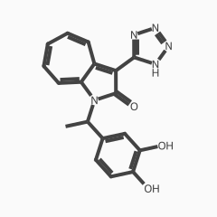 CC(c1ccc(O)c(O)c1)n1c2cccccc-2c(-c2nnn[nH]2)c1=O